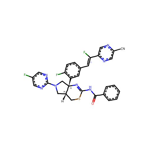 N#Cc1cnc(/C(F)=C/c2ccc(F)c([C@]34CN(c5ncc(F)cn5)C[C@H]3CSC(NC(=O)c3ccccc3)=N4)c2)cn1